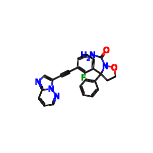 NC(=O)N1OCCC1(c1ccccc1)c1cccc(C#Cc2cnc3cccnn23)c1F